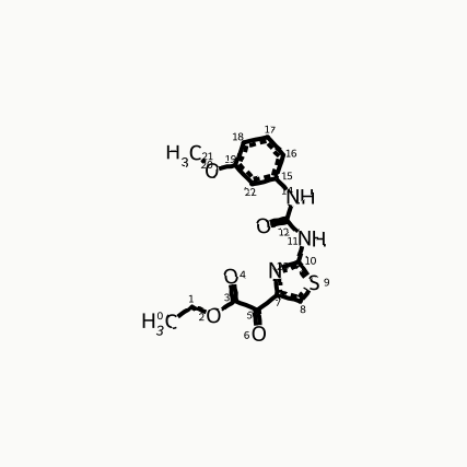 CCOC(=O)C(=O)c1csc(NC(=O)Nc2cccc(OC)c2)n1